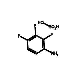 Nc1ccc(F)c(F)c1F.O=S(=O)(O)O